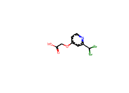 O=C(O)COc1ccnc(C(Br)Br)c1